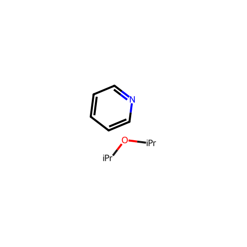 CC(C)OC(C)C.c1ccncc1